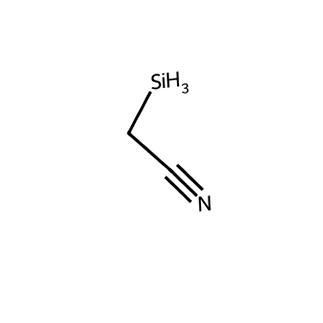 N#CC[SiH3]